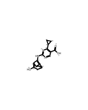 O=C(O)c1cnc(NC2=C3C4CC(O)=C2C3C4)nc1C1CC1